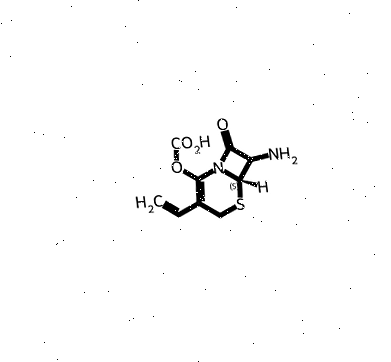 C=CC1=C(OC(=O)O)N2C(=O)C(N)[C@@H]2SC1